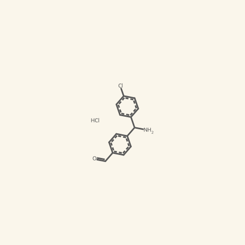 Cl.NC(c1ccc(Cl)cc1)c1ccc(C=O)cc1